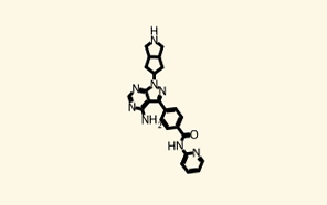 Nc1ncnc2c1c(-c1ccc(C(=O)Nc3ccccn3)cc1)nn2C1CC2CNCC2C1